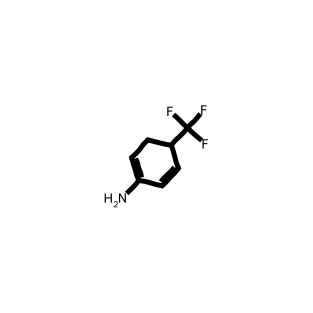 NC1=CCC(C(F)(F)F)C=C1